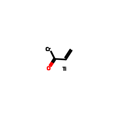 C=C[C](=O)[Cr].[Ti]